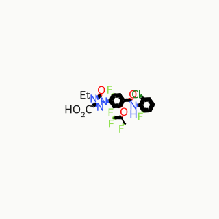 CCn1c(C(=O)O)nn(-c2cc(O[C@@H](CF)C(F)F)c(C(=O)Nc3c(F)cccc3Cl)cc2F)c1=O